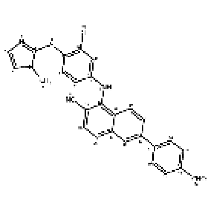 Cn1ccnc1Sc1ccc(Nc2c(C#N)cnc3cc(-c4ccc(C=O)cc4)ccc23)cc1Cl